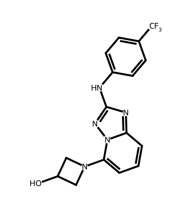 OC1CN(c2cccc3nc(Nc4ccc(C(F)(F)F)cc4)nn23)C1